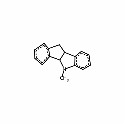 CN1c2ccccc2C2Cc3ccccc3C21